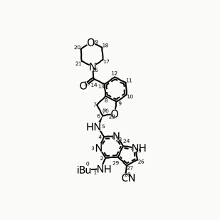 CCC(C)Nc1nc(N[C@H]2Cc3c(cccc3C(=O)N3CCOCC3)O2)nc2[nH]cc(C#N)c12